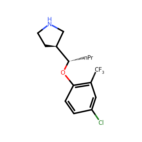 CCC[C@H](Oc1ccc(Cl)cc1C(F)(F)F)[C@H]1CCNC1